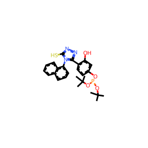 CC(C)(C)OP(Oc1ccc(-c2nnc(S)n2-c2cccc3ccccc23)c(O)c1)OC(C)(C)C